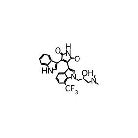 CN(C)CC(O)Cn1cc(C2=C(c3c[nH]c4ccccc34)C(=O)NC2=O)c2cccc(C(F)(F)F)c21